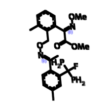 CO/N=C(/C(=O)OC)c1cccc(C)c1CO/N=C(\C)c1ccc(C)cc1C(F)(P)P